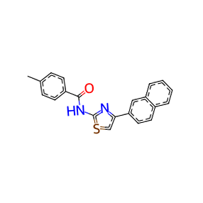 Cc1ccc(C(=O)Nc2nc(-c3ccc4ccccc4c3)cs2)cc1